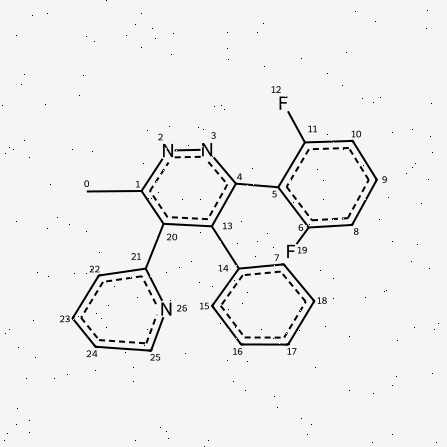 Cc1nnc(-c2c(F)cccc2F)c(-c2ccccc2)c1-c1ccccn1